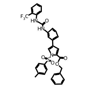 Cc1ccc(S(=O)(=O)n2cc(-c3cccc(NC(=O)Nc4ccccc4C(F)(F)F)c3)cc2C(=O)OCc2ccccc2)cc1